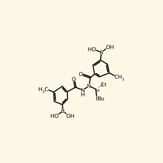 CC[C@@H](N(NC(=O)c1cc(C)cc(B(O)O)c1)C(=O)c1cc(C)cc(B(O)O)c1)C(C)(C)C